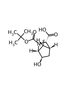 CC(C)(C)OC(=O)N1[C@@H]2[C@H](F)[C@@H](C[C@H]2O)[C@H]1C(=O)O